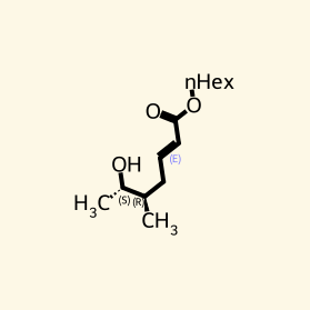 CCCCCCOC(=O)/C=C/C[C@@H](C)[C@H](C)O